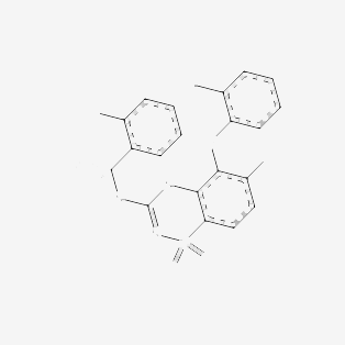 C[C@@H](NC1=NS(=O)(=O)c2ccc(F)c(Oc3ccccc3Cl)c2N1)c1ccccc1F